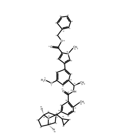 COc1cc(-c2cc(C(=O)OCc3ccccc3)n(C)c2)cc([C@@H](C)NC(=O)c2cc(N3C[C@H]4CC[C@@H](C3)N4CC3CC3)ccc2C)c1